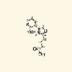 Nc1ccccc1-c1coc(CCCC(=O)O)n1